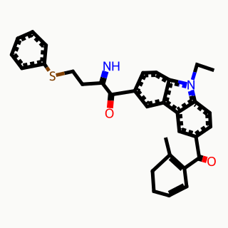 CCn1c2ccc(C(=O)C(=N)CCSc3ccccc3)cc2c2cc(C(=O)C3=C(C)CCC=C3)ccc21